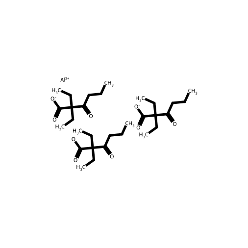 CCCC(=O)C(CC)(CC)C(=O)[O-].CCCC(=O)C(CC)(CC)C(=O)[O-].CCCC(=O)C(CC)(CC)C(=O)[O-].[Al+3]